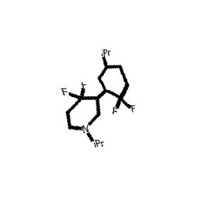 CC(C)C1CCC(F)(F)C(C2CN(C(C)C)CCC2(F)F)C1